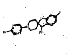 N[C@@H]1c2ccc(F)cc2OC12CCN(c1cnc(Br)cn1)CC2